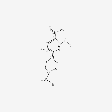 COc1cc(N2CCN(C(C)C)CC2)c(C)cc1[N+](=O)[O-]